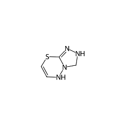 C1=CSC2=NNCN2N1